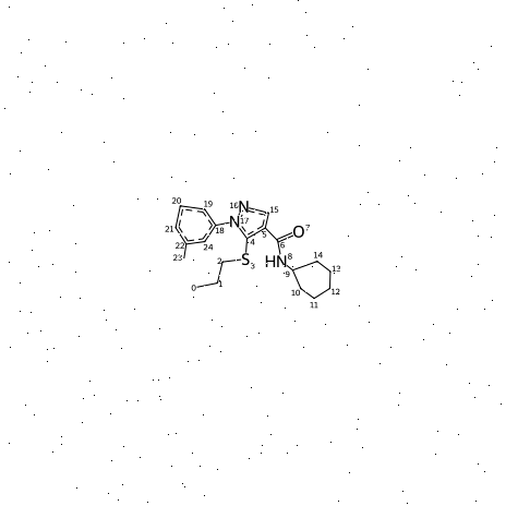 CCCSc1c(C(=O)NC2CCCCC2)cnn1-c1cccc(C)c1